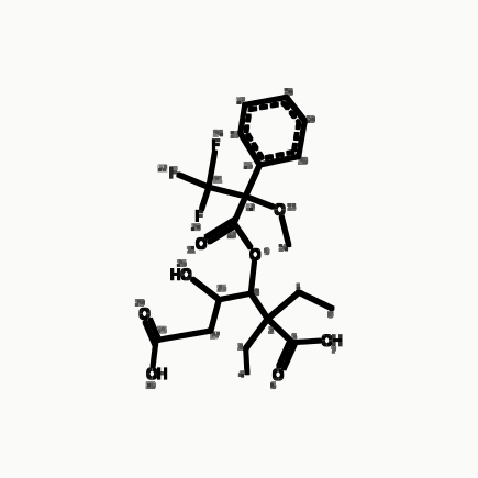 CCC(CC)(C(=O)O)C(OC(=O)C(OC)(c1ccccc1)C(F)(F)F)C(O)CC(=O)O